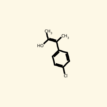 CC(O)=C(C)c1ccc(Cl)cc1